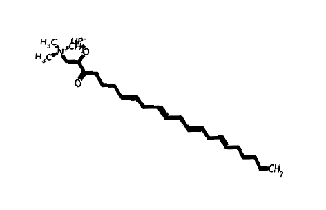 CCCCCC=CCC=CCC=CCC=CCCCC(=O)C(C[N+](C)(C)C)O[PH-]